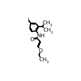 CCO/C=C/C(=O)Nc1ccc(I)cc1C(C)C